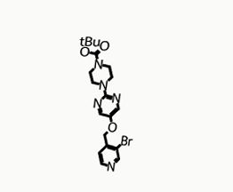 CC(C)(C)OC(=O)N1CCN(c2ncc(OCc3ccncc3Br)cn2)CC1